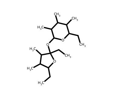 CCC1OC(OC2(CC)OC(CC)C(C)C2C)C(C)C(C)C1C